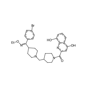 CCON=C(c1ccc(Br)cc1)C1CCN(CC2CCN(C(=O)c3cc(O)c4cccc(O)c4n3)CC2)CC1